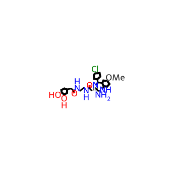 COc1ccc2c(c1)C(c1ccc(Cl)cc1)=N[C@@H](CC(=O)NCCNC(=O)Cc1ccc(O)c(O)c1)C(N)N2